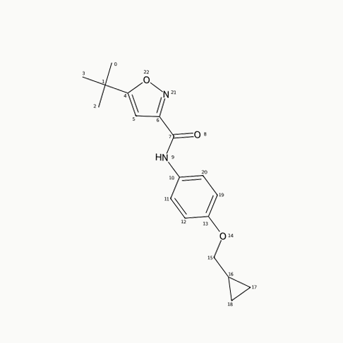 CC(C)(C)c1cc(C(=O)Nc2ccc(OCC3CC3)cc2)no1